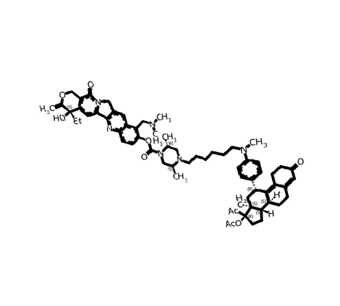 C=C1OCc2c(cc3n(c2=O)Cc2cc4c(CN(C)C)c(OC(=O)N5C[C@H](C)N(CCCCCCN(C)c6ccc([C@H]7C[C@@]8(C)[C@@H](CC[C@]8(OC(C)=O)C(C)=O)[C@@H]8CCC9=CC(=O)CCC9=C87)cc6)C[C@H]5C)ccc4nc2-3)[C@@]1(O)CC